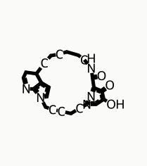 O=C1NCCCCCCC2CC=Nc3c2ccn3CCCCCn2cc(O)c(=O)c1n2